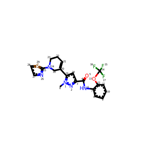 Cn1nc(C(=O)Nc2ccccc2OC(F)(F)F)cc1C1=CCCN(c2nccs2)C1